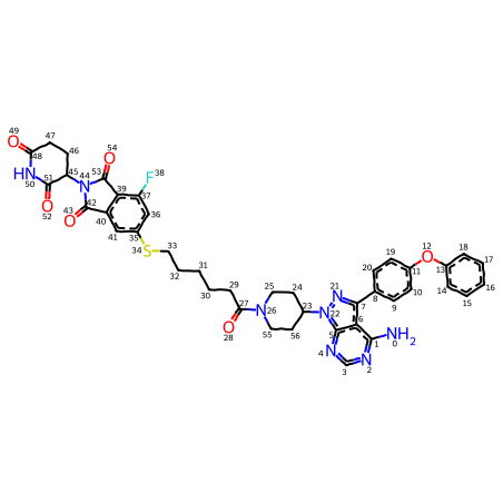 Nc1ncnc2c1c(-c1ccc(Oc3ccccc3)cc1)nn2C1CCN(C(=O)CCCCCSc2cc(F)c3c(c2)C(=O)N(C2CCC(=O)NC2=O)C3=O)CC1